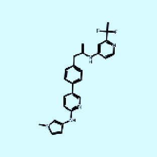 C=C(Cc1ccc(-c2ccc(Nc3ccn(C)c3)nc2)cc1)Nc1ccnc(C(C)(F)F)c1